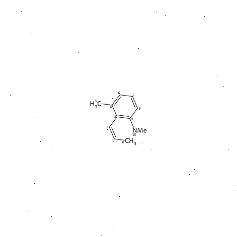 C/C=C\c1c(C)cccc1NC